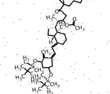 C=C1C(=CC=C2CCC[C@]3(C)[C@@H]([C@H](C)C(CC(=O)C4(CCCC)CC4)OC(C)=O)CC[C@@H]23)CC(O[Si](C)(C)C(C)(C)C)CC1O[Si](C)(C)C(C)(C)C